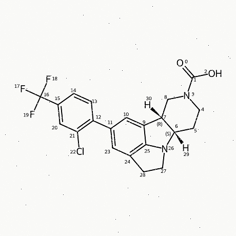 O=C(O)N1CC[C@H]2[C@@H](C1)c1cc(-c3ccc(C(F)(F)F)cc3Cl)cc3c1N2CC3